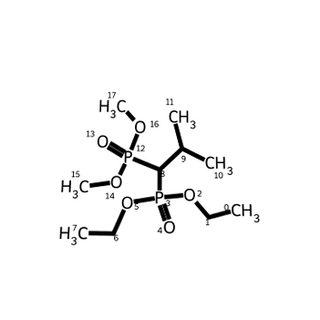 CCOP(=O)(OCC)C(C(C)C)P(=O)(OC)OC